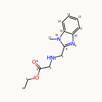 CCOC(=O)CNCc1nc2ccccc2n1C